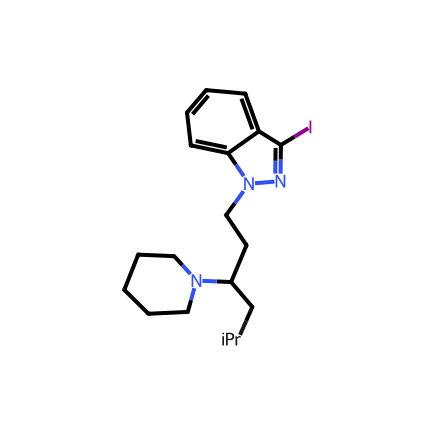 CC(C)CC(CCn1nc(I)c2ccccc21)N1CCCCC1